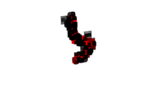 Cc1cc(-c2ncnc3[nH]c(-c4ccc(N5CCC(CN6CCN(c7ccc(N8CCC(=O)NC8=O)nc7)CC6)CC5)cc4)cc23)ccc1[C@@H](C)NC(=O)c1nc(C(C)(C)C)no1